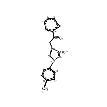 Cl.O=C(CN1C=CN(c2ccc(O)cc2)C1)c1ccccc1